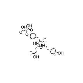 O=C(O)CCC(=O)NC(Cc1ccc(OC(C(=O)O)C(=O)O)cc1)C(=O)NCCc1ccc(O)cc1